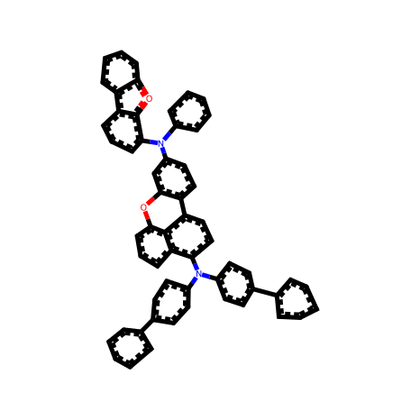 c1ccc(-c2ccc(N(c3ccc(-c4ccccc4)cc3)c3ccc4c5c(cccc35)Oc3cc(N(c5ccccc5)c5cccc6c5oc5ccccc56)ccc3-4)cc2)cc1